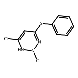 ClC1=CC(Sc2ccccc2)=NN(Cl)N1